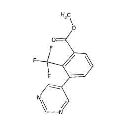 COC(=O)c1cccc(-c2cncnc2)c1C(F)(F)F